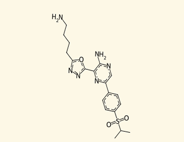 CC(C)S(=O)(=O)c1ccc(-c2cnc(N)c(-c3nnc(CCCCN)o3)n2)cc1